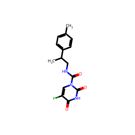 Cc1ccc(C(C)CNC(=O)n2cc(F)c(=O)[nH]c2=O)cc1